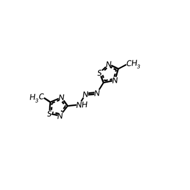 Cc1nsc(N=NNc2nsc(C)n2)n1